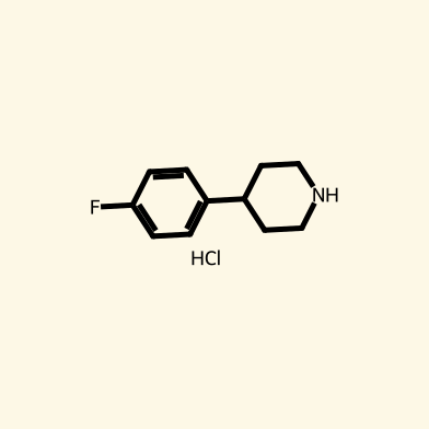 Cl.Fc1ccc(C2CCNCC2)cc1